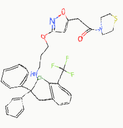 O=C(Cc1cc(OCCCNCC(Cc2cccc(C(F)(F)F)c2Cl)(c2ccccc2)c2ccccc2)no1)N1CCSCC1